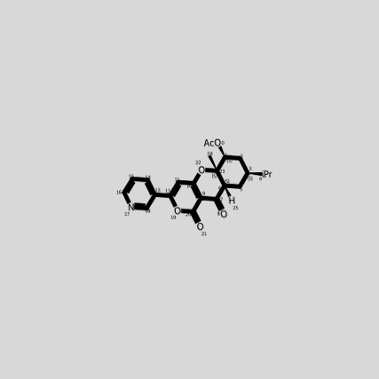 CC(=O)O[C@H]1C[C@@H](C(C)C)C[C@@H]2C(=O)c3c(cc(-c4cccnc4)oc3=O)O[C@]12C